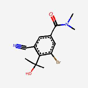 CN(C)C(=O)c1cc(Br)c(C(C)(C)O)c(C#N)c1